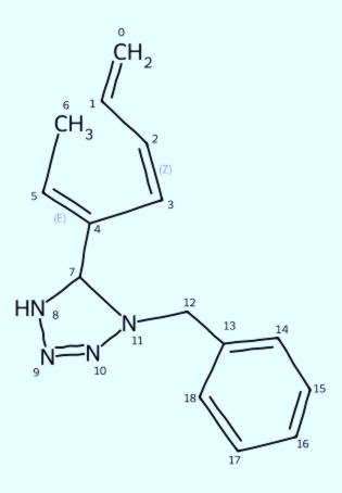 C=C/C=C\C(=C/C)C1NN=NN1Cc1ccccc1